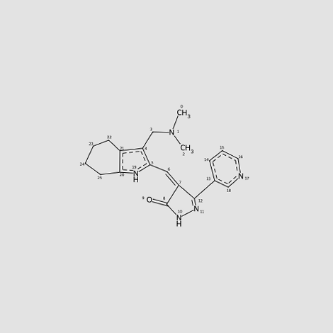 CN(C)Cc1c(C=C2C(=O)NN=C2c2cccnc2)[nH]c2c1CCCC2